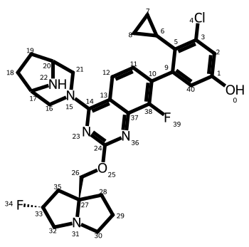 Oc1cc(Cl)c(C2CC2)c(-c2ccc3c(N4CC5CCC(C4)N5)nc(OC[C@@]45CCCN4C[C@H](F)C5)nc3c2F)c1